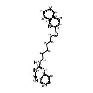 N#CNC(=Nc1ccncc1)NCCCCCCOc1ccc2ccccc2n1